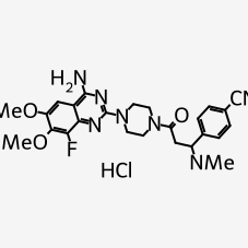 CNC(CC(=O)N1CCN(c2nc(N)c3cc(OC)c(OC)c(F)c3n2)CC1)c1ccc(C#N)cc1.Cl